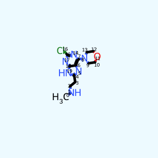 CNCCc1nc2c(N3CCOCC3)nc(Cl)nc2[nH]1